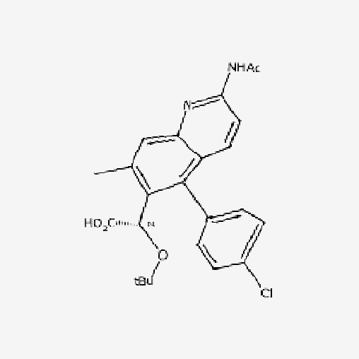 CC(=O)Nc1ccc2c(-c3ccc(Cl)cc3)c([C@H](OC(C)(C)C)C(=O)O)c(C)cc2n1